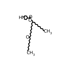 CCCCCCCCCC(=O)CCCCCCCCC(CCCCCCCCC)COC(=O)C1CCNCC1